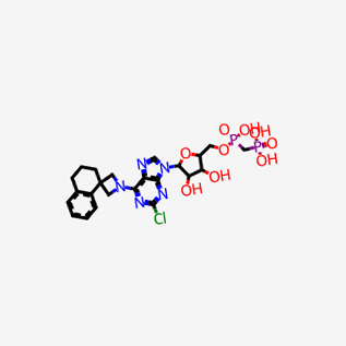 O=P(O)(O)CP(=O)(O)OCC1OC(n2cnc3c(N4CC5(CCCc6ccccc65)C4)nc(Cl)nc32)C(O)C1O